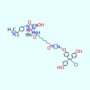 Cc1ncsc1-c1ccc(CNC(=O)[C@@H]2C[C@@H](O)CN2C(=O)[C@@H](NC(=O)CCCCCCCC(=O)N2CCN(CCOc3ccc(C(=C(CCCl)c4ccc(O)cc4)c4ccc(O)cc4)cc3)CC2)C(C)(C)C)cc1